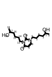 CC(O)CCCCn1ccc(=O)n(CCCCC(C)O)c1=O